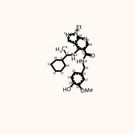 CCn1ncc2c(N[C@H](C)C3CCCCC3)c(C(=O)NCc3ccc(O)c(OC)c3)cnc21